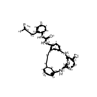 O=C(Nc1ccc2cc1CCC1C=CC=C(C1)Nc1ncc(Cl)c(n1)N2)Nc1ccccc1CC(F)F